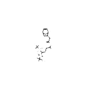 CC(CCC(S(=O)(=O)C(F)(F)F)S(=O)(=O)C(F)(F)F)OC(=O)CC1CC2C=CC1C2